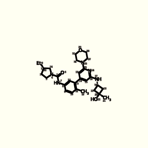 CC[C@@H]1CCN(C(=O)Nc2ccc(C)c(-c3cc(N[C@H]4C[C@@](C)(O)C4)nc(N4CCOCC4)c3)c2)C1